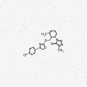 Cc1cccc(-n2nnn(C)c2=O)c1CSc1nc(-c2ccc(Cl)cc2)co1